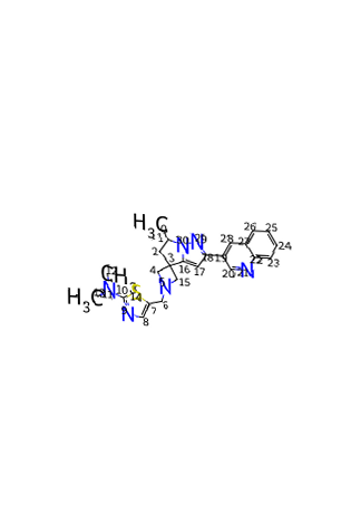 CC1CC2(CN(Cc3cnc(N(C)C)s3)C2)c2cc(-c3cnc4ccccc4c3)nn21